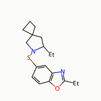 CCc1nc2cc(SN3CC4(CCC4)CC3CC)ccc2o1